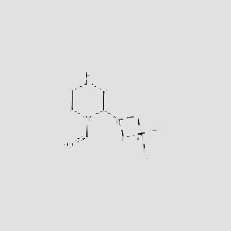 O=CN1CCNCC1C1CC(F)(F)C1